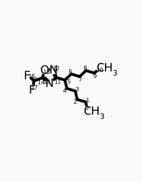 CCCCCC(CCCCC)c1noc(C(F)F)n1